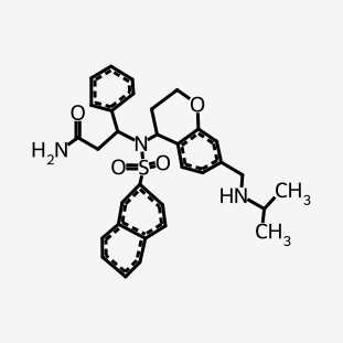 CC(C)NCc1ccc2c(c1)OCCC2N(C(CC(N)=O)c1ccccc1)S(=O)(=O)c1ccc2ccccc2c1